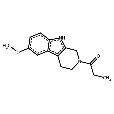 CCC(=O)N1CCc2c([nH]c3ccc(OC)cc23)C1